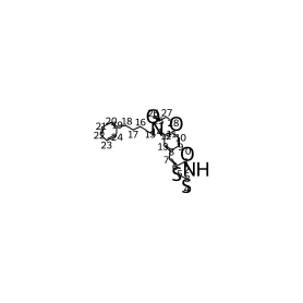 O=C1NC(=S)S/C1=C/c1ccc2c(c1)N(CCCCc1ccccc1)C(=O)CO2